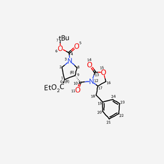 CCOC(=O)[C@H]1CN(C(=O)OC(C)(C)C)C[C@@H]1C(=O)N1C(=O)OCC1Cc1ccccc1